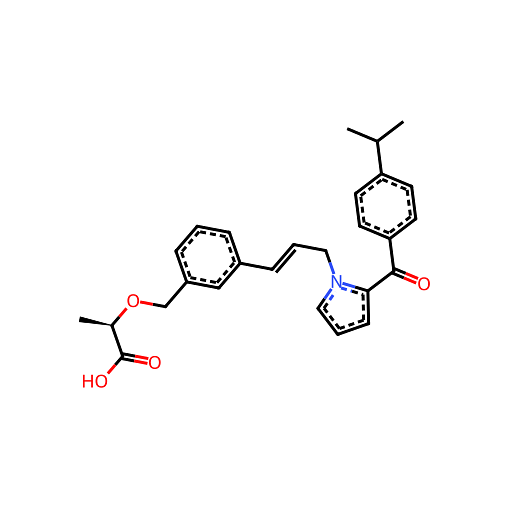 CC(C)c1ccc(C(=O)c2cccn2C/C=C/c2cccc(CO[C@H](C)C(=O)O)c2)cc1